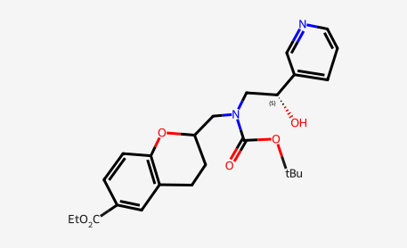 CCOC(=O)c1ccc2c(c1)CCC(CN(C[C@@H](O)c1cccnc1)C(=O)OC(C)(C)C)O2